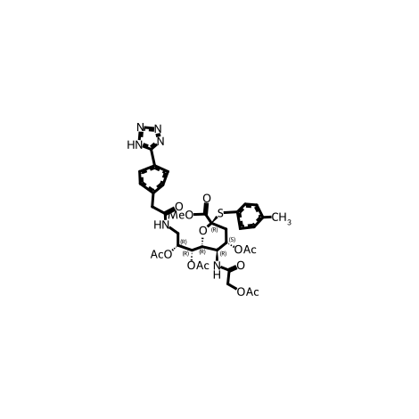 COC(=O)[C@]1(Sc2ccc(C)cc2)C[C@H](OC(C)=O)[C@@H](NC(=O)COC(C)=O)[C@H]([C@H](OC(C)=O)[C@@H](CNC(=O)Cc2ccc(-c3nnn[nH]3)cc2)OC(C)=O)O1